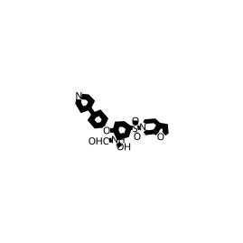 O=CNO.O=S(=O)(c1ccc(Oc2ccc(-c3ccncc3)cc2)cc1)N1CCc2ccoc2C1